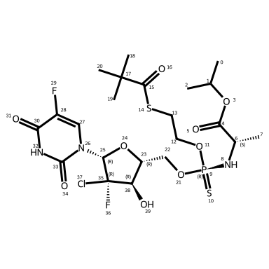 CC(C)OC(=O)[C@H](C)N[P@](=S)(OCCSC(=O)C(C)(C)C)OC[C@H]1O[C@@H](n2cc(F)c(=O)[nH]c2=O)[C@](F)(Cl)[C@@H]1O